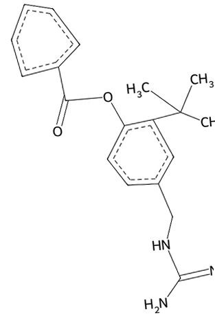 CC(C)(C)c1cc(CNC(=N)N)ccc1OC(=O)c1ccccc1